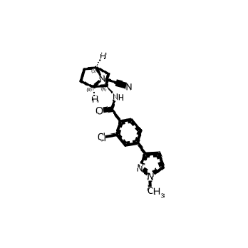 Cn1ccc(-c2ccc(C(=O)N[C@@H]3C[C@@H]4CC[C@H]3N4C#N)c(Cl)c2)n1